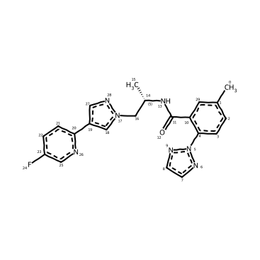 Cc1ccc(-n2nccn2)c(C(=O)N[C@@H](C)Cn2cc(-c3ccc(F)cn3)cn2)c1